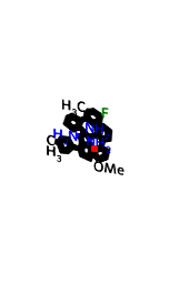 COc1ccc(-c2ccccc2C(N)C(N)(c2ccccc2-c2ccc(F)cc2C)C(N)c2ccccc2-c2ccc(C)cc2)cc1